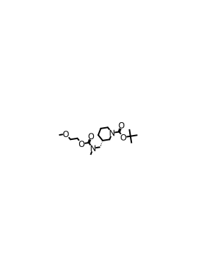 COCCOC(=O)N(C)C[C@@H]1CCCN(C(=O)OC(C)(C)C)C1